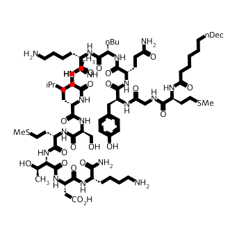 CCCCCCCCCCCCCCCC(=O)N[C@@H](CCSC)C(=O)NCC(=O)N[C@@H](Cc1ccc(O)cc1)C(=O)N[C@@H](CCC(N)=O)C(=O)N[C@@H](CCCC)C(=O)N[C@@H](CCCCN)C(=O)N[C@@H](CC(C)C)C(=O)N[C@@H](CCCNC(C)=N)C(=O)N[C@@H](CO)C(=O)N[C@@H](CCSC)C(=O)N[C@H](C(=O)N[C@@H](CC(=O)O)C(=O)N[C@@H](CCCCN)C(N)=O)[C@@H](C)O